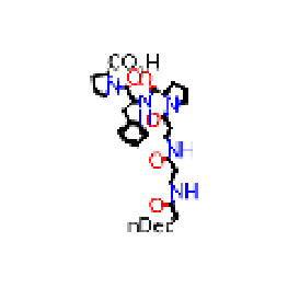 CCCCCCCCCCCC(=O)NCCC(=O)NCCC(=O)N1CCC[C@H]1C(=O)N[C@@H](Cc1ccccc1)C(=O)N1CCC[C@H]1C(=O)O